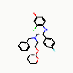 Oc1ccc(N[C@@H](CN(CCOC2CCCCO2)Cc2ccccc2)c2ccc(F)cc2)c(Cl)c1